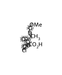 COc1ccc(COC[C@H](C)C[C@H]2Cc3ccccc3C23CCC(Oc2cccc(Cl)c2)(C(=O)O)CC3)cc1